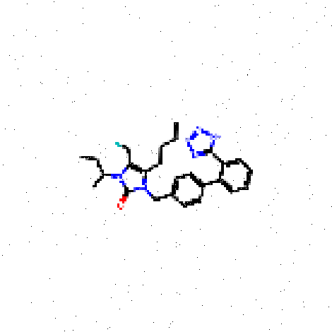 CCCCc1c(CF)n(C(C)CC)c(=O)n1Cc1ccc(-c2ccccc2-c2nnn[nH]2)cc1